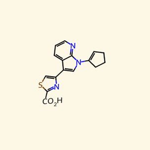 O=C(O)c1nc(-c2cn(C3=CCCC3)c3ncccc23)cs1